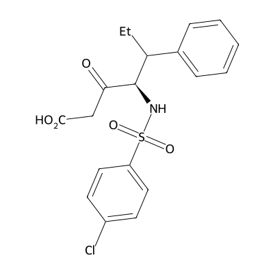 CCC(c1ccccc1)[C@@H](NS(=O)(=O)c1ccc(Cl)cc1)C(=O)CC(=O)O